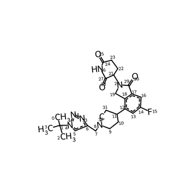 CC(C)(C)n1cc(CN2CCC(c3cc(F)cc4c3CN(C3CCC(=O)NC3=O)C4=O)CC2)nn1